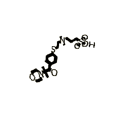 CC(C)(C(=O)c1ccc(SCC[N+](C)(C)CCCS(=O)(=O)O)cc1)N1CCOCC1